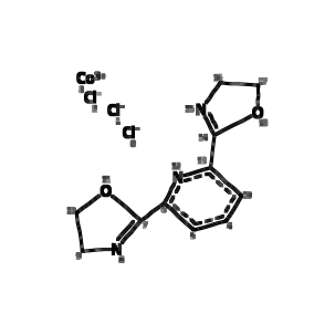 [Cl-].[Cl-].[Cl-].[Co+3].c1cc(C2=NCCO2)nc(C2=NCCO2)c1